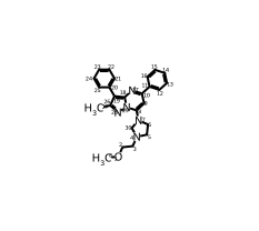 COCCN1CCN(c2cc(-c3ccccc3)nc3c(-c4ccccc4)c(C)nn23)C1